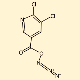 [N-]=[N+]=NOC(=O)c1cnc(Cl)c(Cl)c1